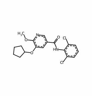 COc1ncc(C(=O)Nc2c(Cl)cccc2Cl)cc1OC1CCCC1